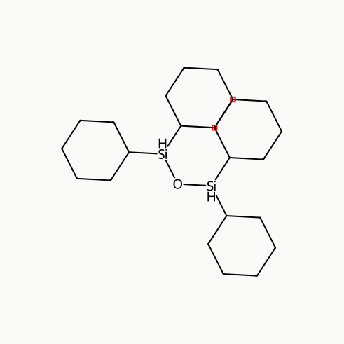 C1CCC([SiH](O[SiH](C2CCCCC2)C2CCCCC2)C2CCCCC2)CC1